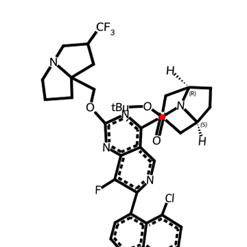 CC(C)(C)OC(=O)N1[C@@H]2CC[C@H]1CN(c1nc(OCC34CCCN3CC(C(F)(F)F)C4)nc3c(F)c(-c4cccc5cccc(Cl)c45)ncc13)C2